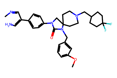 C/N=C\C(=C/N)c1ccc(N2CC3(CCN(CC4CCC(F)(F)CC4)CC3)N(Cc3cccc(OC)c3)C2=O)cc1